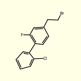 Fc1cc(CCBr)ccc1-c1ccccc1Cl